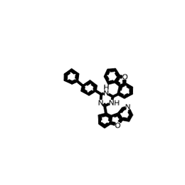 c1ccc(-c2ccc(C3N=C(c4cccc5oc6ccncc6c45)NC(c4cccc5oc6ccccc6c45)N3)cc2)cc1